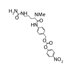 CN[C@@H](CCCNC(N)=O)C(=O)Nc1ccc(COC(=O)Oc2ccc([N+](=O)[O-])cc2)cc1